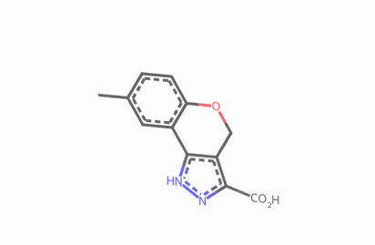 Cc1ccc2c(c1)-c1[nH]nc(C(=O)O)c1CO2